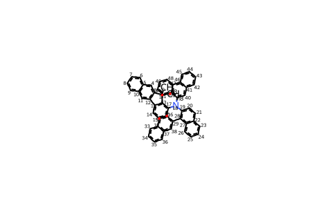 CC1(C)c2cc3ccccc3cc2-c2cccc(N(c3ccc4ccccc4c3-c3ccc4ccccc4c3)c3cc4ccccc4c4ccccc34)c21